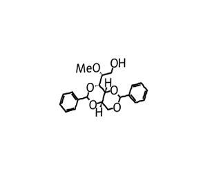 CO[C@H](CO)[C@H]1OC(c2ccccc2)O[C@H]2COC(c3ccccc3)O[C@@H]12